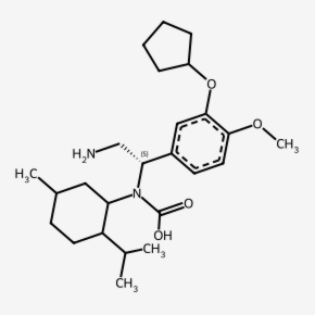 COc1ccc([C@@H](CN)N(C(=O)O)C2CC(C)CCC2C(C)C)cc1OC1CCCC1